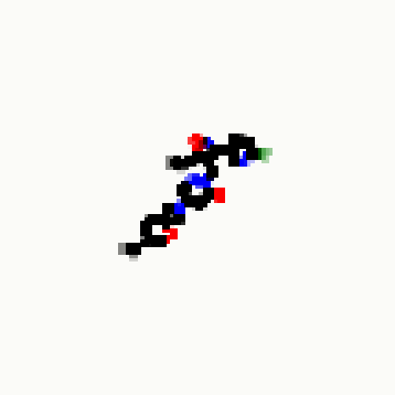 Cc1onc(-c2ccc(Cl)nc2)c1Cn1ncc(N2CC3(CCC(C)CO3)C2)cc1=O